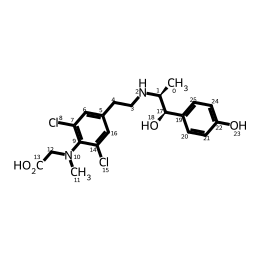 C[C@H](NCCc1cc(Cl)c(N(C)CC(=O)O)c(Cl)c1)[C@H](O)c1ccc(O)cc1